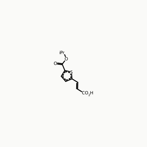 CC(C)OC(=O)c1ccc(/C=C/C(=O)O)s1